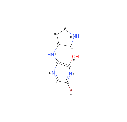 Oc1nc(Br)cnc1NC1CCNC1